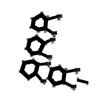 CC.Oc1ccccc1O.Oc1ccccc1O.Oc1ccccc1O.Oc1ccccc1O